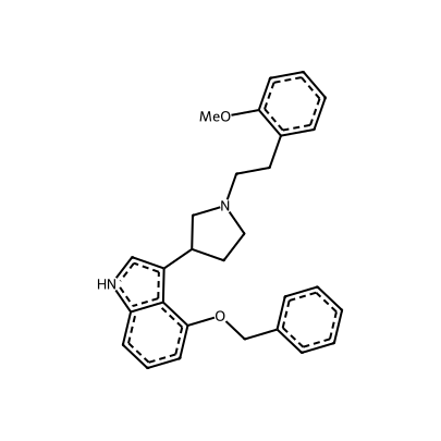 COc1ccccc1CCN1CCC(c2c[nH]c3cccc(OCc4ccccc4)c23)C1